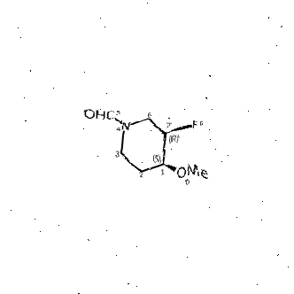 CO[C@H]1CCN(C=O)C[C@H]1F